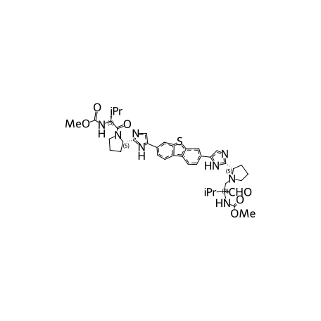 COC(=O)N[C@H](C(=O)N1CCC[C@H]1c1ncc(-c2ccc3c(c2)sc2cc(-c4cnc([C@@H]5CCCN5C[C@](C=O)(NC(=O)OC)C(C)C)[nH]4)ccc23)[nH]1)C(C)C